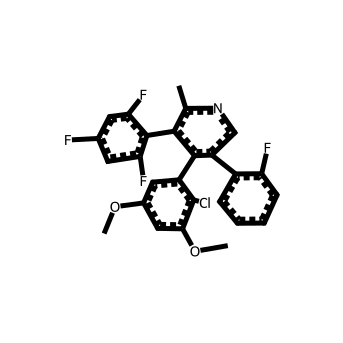 COc1cc(OC)c(Cl)c(-c2c(-c3ccccc3F)cnc(C)c2-c2c(F)cc(F)cc2F)c1